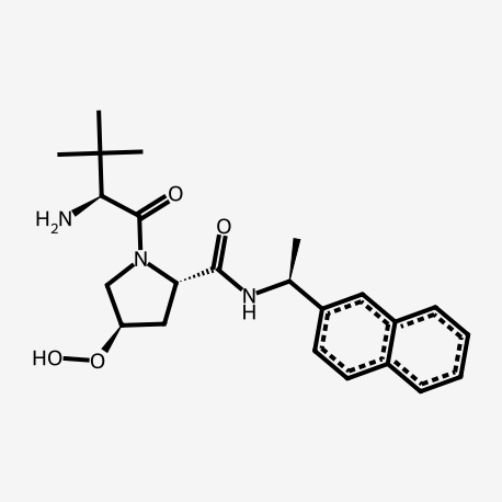 C[C@H](NC(=O)[C@@H]1C[C@@H](OO)CN1C(=O)[C@@H](N)C(C)(C)C)c1ccc2ccccc2c1